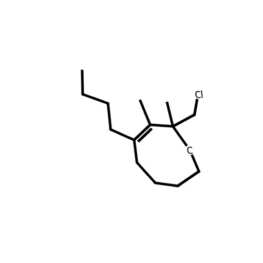 CCCC/C1=C(\C)C(C)(CCl)CCCCC1